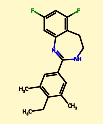 CCc1c(C)cc(C2=Nc3cc(F)cc(F)c3CCN2)cc1C